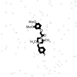 COc1ccc(OCC(=O)N2C[C@@H](C)N(Cc3ccc(F)cc3)C[C@@H]2C)cc1OC